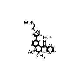 CNCCn1cc(-c2ccc3c(c2)[C@H](Nc2cnccn2)C[C@H](C)N3C(C)=O)cn1.Cl